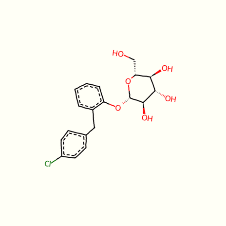 OC[C@H]1O[C@@H](Oc2ccccc2Cc2ccc(Cl)cc2)[C@H](O)[C@@H](O)[C@@H]1O